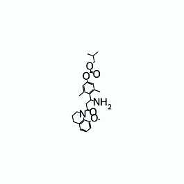 COc1cccc2c1N(C(=O)CC(N)c1c(C)cc(OC(=O)OCC(C)C)cc1C)CCC2